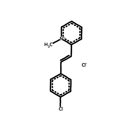 C[n+]1ccccc1/C=C/c1ccc(Cl)cc1.[Cl-]